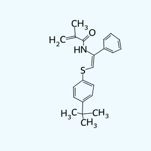 C=C(C)C(=O)NC(=CSc1ccc(C(C)(C)C)cc1)c1ccccc1